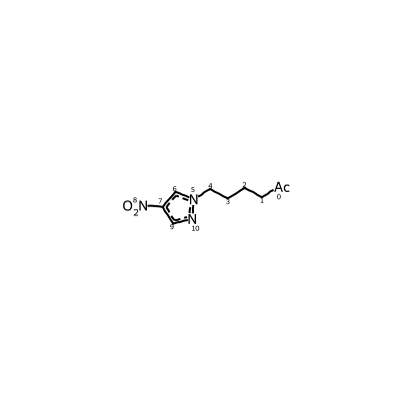 CC(=O)CCCCn1cc([N+](=O)[O-])cn1